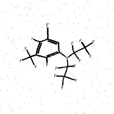 Fc1cc(N(C(F)(F)C(F)(F)F)C(F)(F)C(F)(F)F)c(F)c(C(F)(F)F)c1F